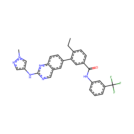 CCc1ccc(C(=O)Nc2cccc(C(F)(F)F)c2)cc1-c1ccc2nc(Nc3cnn(C)c3)ncc2c1